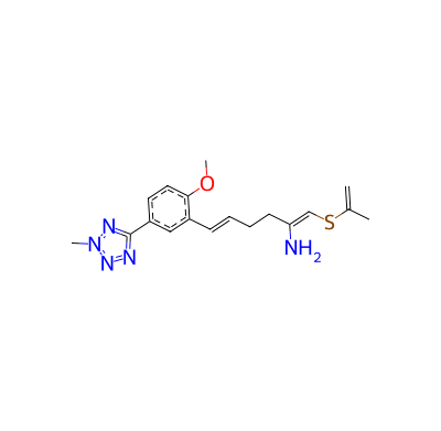 C=C(C)S/C=C(\N)CC/C=C/c1cc(-c2nnn(C)n2)ccc1OC